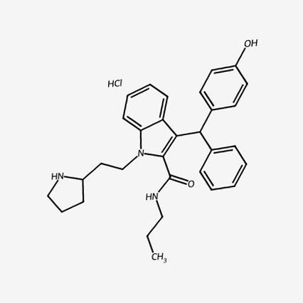 CCCNC(=O)c1c(C(c2ccccc2)c2ccc(O)cc2)c2ccccc2n1CCC1CCCN1.Cl